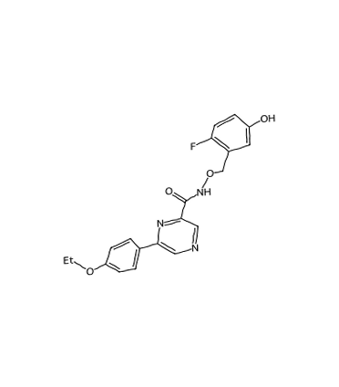 CCOc1ccc(-c2cncc(C(=O)NOCc3cc(O)ccc3F)n2)cc1